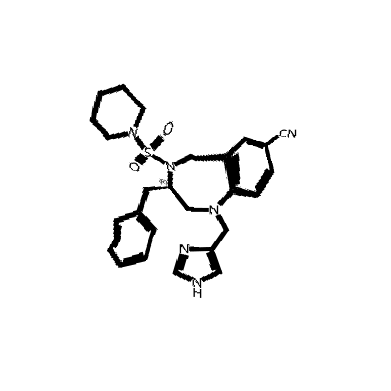 N#Cc1ccc2c(c1)CN(S(=O)(=O)N1CCCCC1)[C@H](Cc1ccccc1)CN2Cc1c[nH]cn1